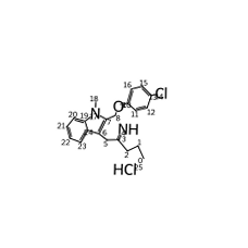 CCCC(=N)Cc1c(COc2ccc(Cl)cc2)n(C)c2ccccc12.Cl